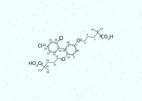 CC(C)(CCCOc1ccc(OCCCC(C)(C)C(=O)O)c(-c2ccc(Cl)cc2Cl)c1)C(=O)O